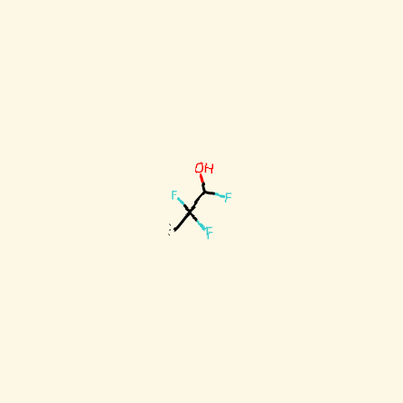 [C]C(F)(F)C(O)F